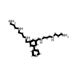 NCCCNCCCNCc1cc(CNCCCNCCCN)cc(-c2ccncc2)c1